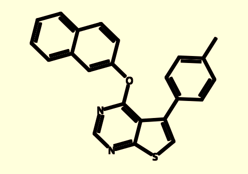 Cc1ccc(-c2csc3ncnc(Oc4ccc5ccccc5c4)c23)cc1